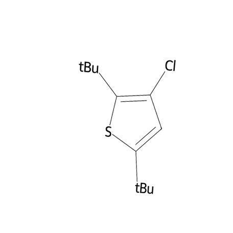 CC(C)(C)c1cc(Cl)c(C(C)(C)C)s1